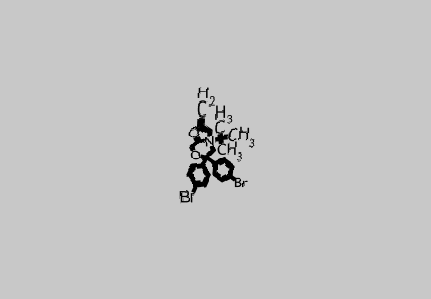 C=CC[N+]1(C(C)(C)C)CC(c2ccc(Br)cc2)(c2ccc(Br)cc2)OCC1=O